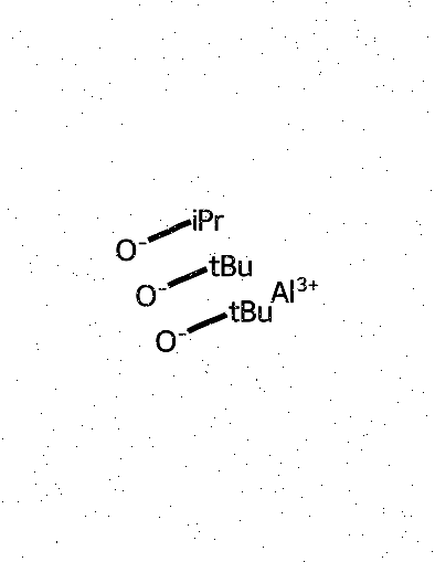 CC(C)(C)[O-].CC(C)(C)[O-].CC(C)[O-].[Al+3]